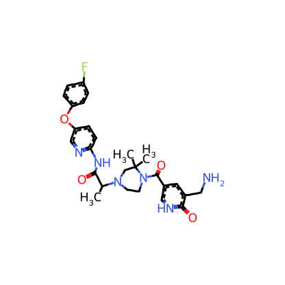 CC(C(=O)Nc1ccc(Oc2ccc(F)cc2)cn1)N1CCN(C(=O)c2c[nH]c(=O)c(CN)c2)C(C)(C)C1